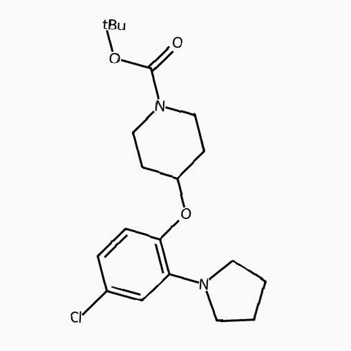 CC(C)(C)OC(=O)N1CCC(Oc2ccc(Cl)cc2N2CCCC2)CC1